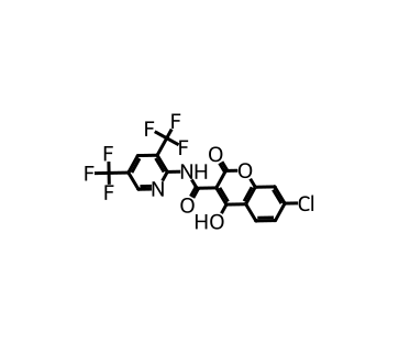 O=C(Nc1ncc(C(F)(F)F)cc1C(F)(F)F)c1c(O)c2ccc(Cl)cc2oc1=O